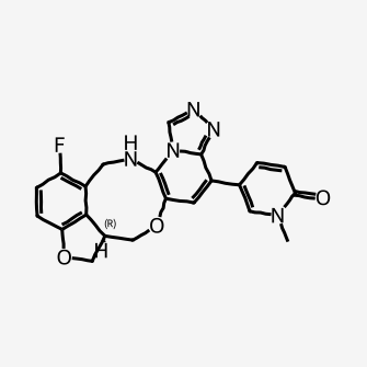 Cn1cc(-c2cc3c(n4cnnc24)NCc2c(F)ccc4c2[C@H](CO4)CO3)ccc1=O